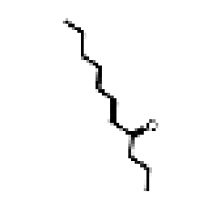 CCCCC/C=C/C(=O)CCC